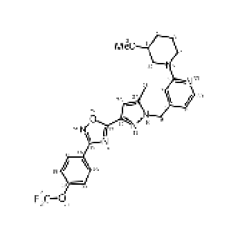 COC1CCCN(c2cc(Cn3nc(-c4nc(-c5ccc(OC(F)(F)F)cc5)no4)cc3C)ccn2)C1